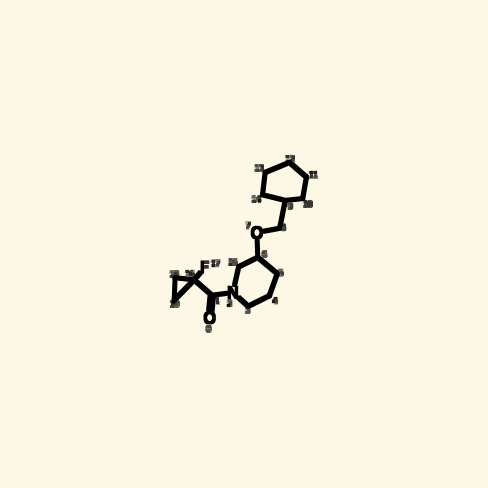 O=C(N1CCCC(OCC2CCCCC2)C1)C1(F)CC1